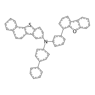 c1ccc(-c2ccc(N(c3cccc(-c4cccc5c4oc4ccccc45)c3)c3ccc4sc5c6ccccc6ccc5c4c3)cc2)cc1